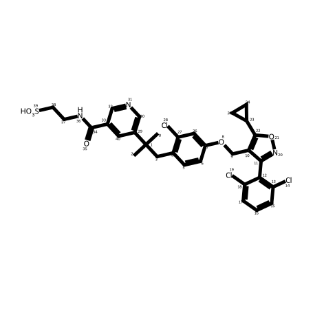 CC(C)(Cc1ccc(OCc2c(-c3c(Cl)cccc3Cl)noc2C2CC2)cc1Cl)c1cncc(C(=O)NCCS(=O)(=O)O)c1